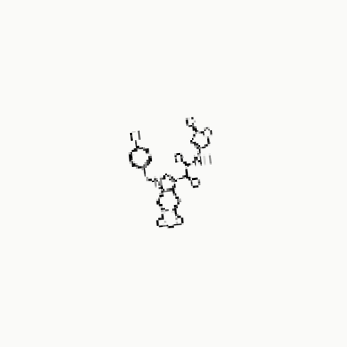 O=C1C=C(NC(=O)C(=O)c2cn(Cc3ccc(Cl)cc3)c3cc4c(cc23)OCO4)CO1